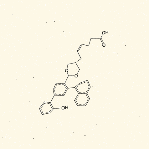 O=C(O)CC/C=C\CC1COC(c2ccc(-c3ccccc3O)cc2-c2cccc3ccccc23)OC1